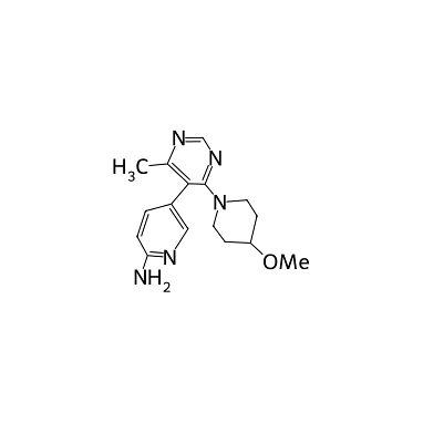 COC1CCN(c2ncnc(C)c2-c2ccc(N)nc2)CC1